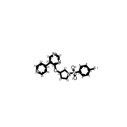 O=S(=O)(c1ccc(F)cc1)N1CCC(Oc2ncncc2-c2ccncc2)C1